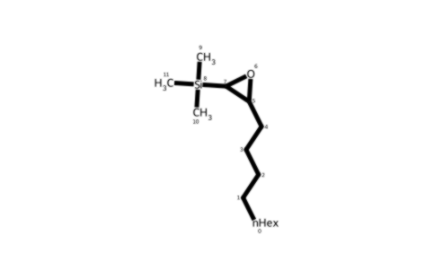 CCCCCCCCCCC1OC1[Si](C)(C)C